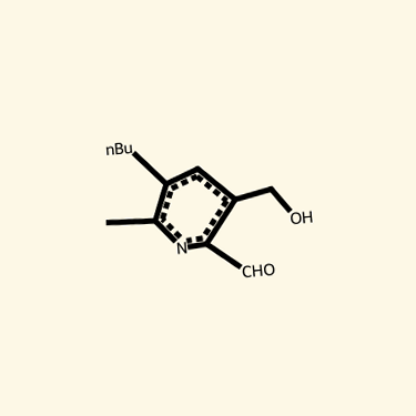 CCCCc1cc(CO)c(C=O)nc1C